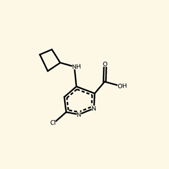 O=C(O)c1nnc(Cl)cc1NC1CCC1